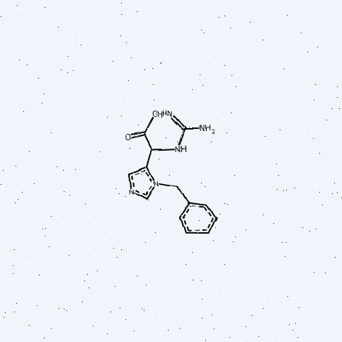 N=C(N)NC(C(=O)O)c1cncn1Cc1ccccc1